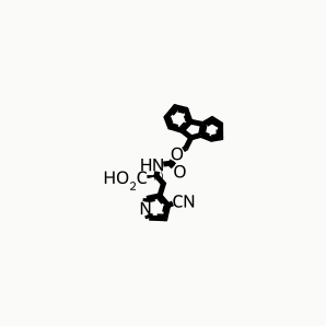 N#Cc1ccncc1C[C@H](NC(=O)OCC1c2ccccc2-c2ccccc21)C(=O)O